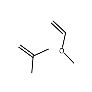 C=C(C)C.C=COC